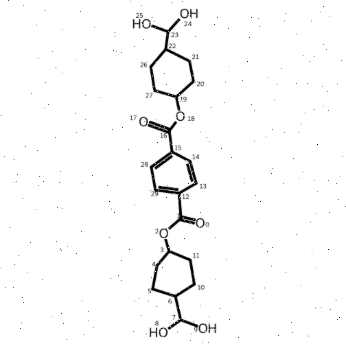 O=C(OC1CCC(C(O)O)CC1)c1ccc(C(=O)OC2CCC(C(O)O)CC2)cc1